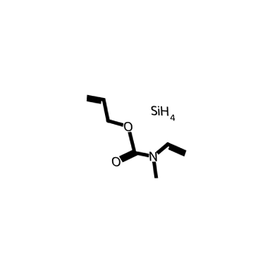 C=CCOC(=O)N(C)C=C.[SiH4]